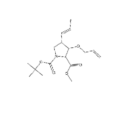 C=CCOC1C(/C=C/C)CN(C(=O)OC(C)(C)C)C1C(=O)OC